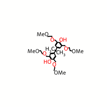 COCCOCc1cc(C(C)(C)c2cc(COCCOC)c(O)c(COCCOC)c2)cc(COCCOC)c1O